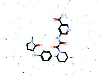 C[C@@H]1CC[C@H](c2ccc(N[C@@H]3CCN(C)C3=O)cc2)N(C(=O)C(=O)Nc2cncc(C(N)=O)c2)C1